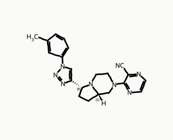 Cc1cccc(-n2cc([C@H]3CC[C@H]4CN(c5nccnc5C#N)CCN43)nn2)c1